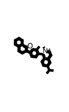 Cc1c(-c2c3ccc(C(C)C)cc3cc[n+]2C)ccc2c1oc1c3ccccc3ccc21